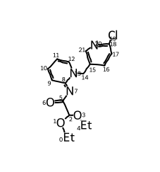 CCOC(OCC)C(=O)/N=c1\ccccn1Cc1ccc(Cl)nc1